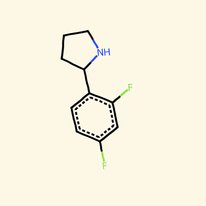 Fc1ccc(C2CCCN2)c(F)c1